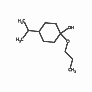 CCCOC1(O)CCC(C(C)C)CC1